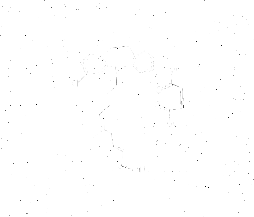 CN(C/C=C/C(=O)O)CCCCN1c2ccccc2CCc2ccc(Cl)cc21.O=C(O)/C=C\C(=O)O